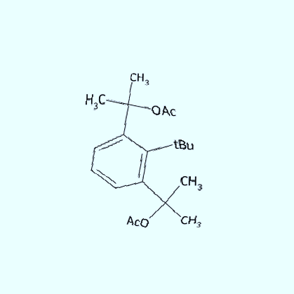 CC(=O)OC(C)(C)c1cccc(C(C)(C)OC(C)=O)c1C(C)(C)C